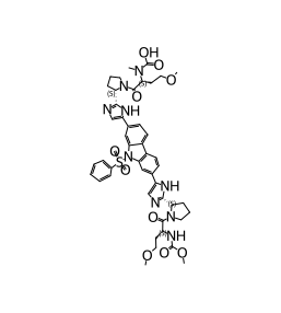 COCC[C@H](NC(=O)OC)C(=O)N1CCC[C@H]1c1ncc(-c2ccc3c4ccc(-c5cnc([C@@H]6CCCN6C(=O)[C@H](CCOC)N(C)C(=O)O)[nH]5)cc4n(S(=O)(=O)c4ccccc4)c3c2)[nH]1